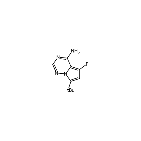 CC(C)(C)c1cc(F)c2c(N)ncnn12